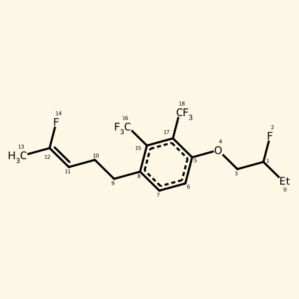 CCC(F)COc1ccc(CC/C=C(/C)F)c(C(F)(F)F)c1C(F)(F)F